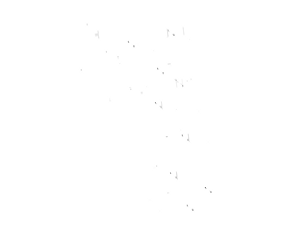 Nc1nc2c(O)cccc2c2nc(CN3CCn4c(S)nnc4C3)nn12